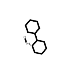 C1CCC(C2CCCCC2)CC1.PCl